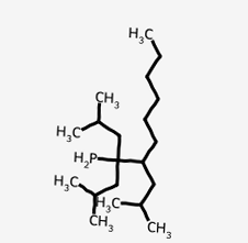 CCCCCCC(CC(C)C)C(P)(CC(C)C)CC(C)C